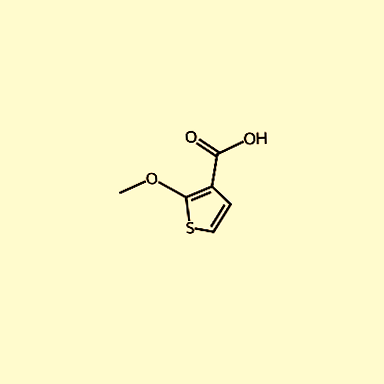 COc1sccc1C(=O)O